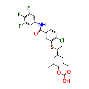 CCCC(CC(C)COC(=O)O)C(C)Sc1cc(C(=O)Nc2cc(F)c(F)c(F)c2)ccc1Cl